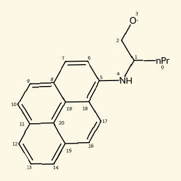 CCCC(C[O])Nc1ccc2ccc3cccc4ccc1c2c34